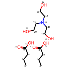 CCCC(=O)O.CCCC(=O)O.OCCN(CCO)CCO